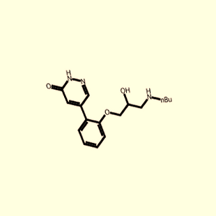 CCCCNCC(O)COc1ccccc1-c1cn[nH]c(=O)c1